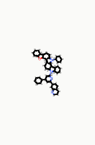 c1ccc(-c2cc(-c3ccc4cccnc4c3)nc(-n3c4ccccc4c4c3ccc3c5c6oc7ccccc7c6ccc5n(-c5ccccc5)c34)c2)cc1